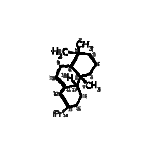 [CH2][C@@]1(C)CCC[C@@]2(C)C1CC=C1C=C(C(C)C)CC[C@H]12